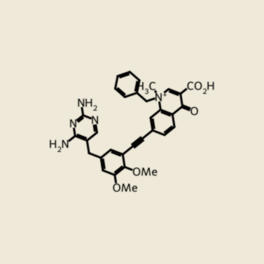 COc1cc(Cc2cnc(N)nc2N)cc(C#Cc2ccc3c(c2)[N+](C)(Cc2ccccc2)C=C(C(=O)O)C3=O)c1OC